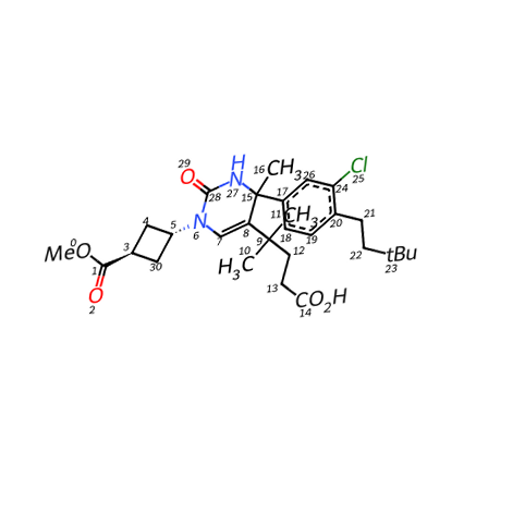 COC(=O)[C@H]1C[C@H](N2C=C(C(C)(C)CCC(=O)O)C(C)(c3ccc(CCC(C)(C)C)c(Cl)c3)NC2=O)C1